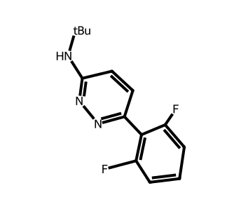 CC(C)(C)Nc1ccc(-c2c(F)cccc2F)nn1